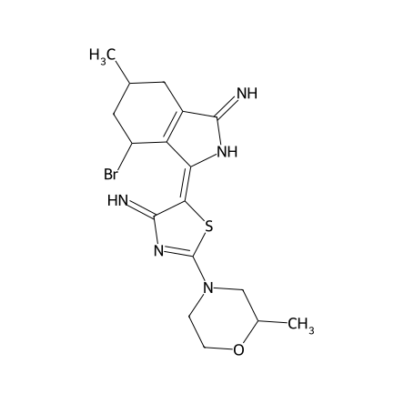 CC1CC2=C(C(=C3SC(N4CCOC(C)C4)=NC3=N)NC2=N)C(Br)C1